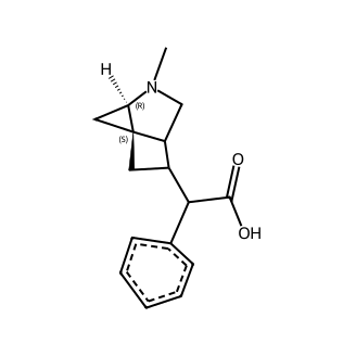 CN1CC2C(C(C(=O)O)c3ccccc3)C[C@]23C[C@@H]13